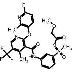 COCC(=O)N=[S@](C)(=O)c1cccc(NC(=O)c2c(Oc3ccc(F)nc3C)ncc(C(F)(F)F)c2C)c1